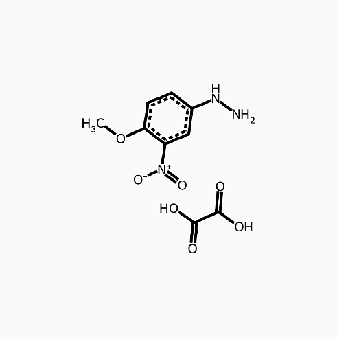 COc1ccc(NN)cc1[N+](=O)[O-].O=C(O)C(=O)O